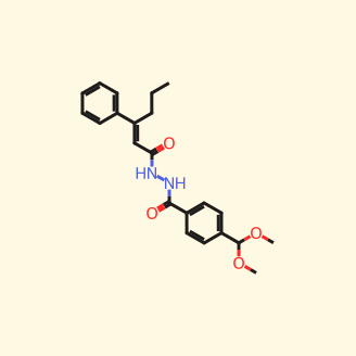 CCC/C(=C\C(=O)NNC(=O)c1ccc(C(OC)OC)cc1)c1ccccc1